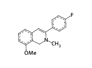 COc1cccc2c1CN(C)C(c1ccc(F)cc1)=C2